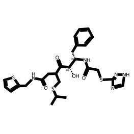 CC(C)SCC(CC(=O)NCc1cccs1)C(=O)[C@@H](O)[C@H](Cc1ccccc1)NC(=O)CSc1nc[nH]n1